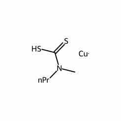 CCCN(C)C(=S)S.[Cu]